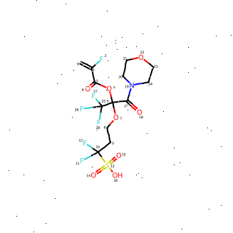 C=C(F)C(=O)OC(OCCC(F)(F)S(=O)(=O)O)(C(=O)N1CCOCC1)C(F)(F)F